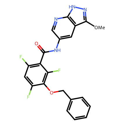 COc1n[nH]c2ncc(NC(=O)c3c(F)cc(F)c(OCc4ccccc4)c3F)cc12